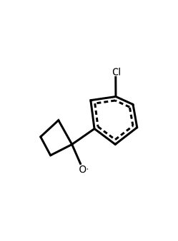 [O]C1(c2cccc(Cl)c2)CCC1